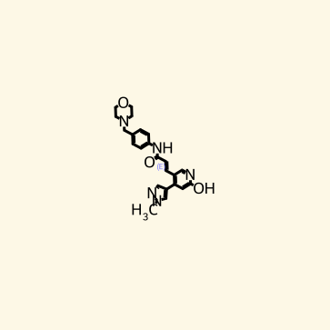 Cn1cc(-c2cc(O)ncc2/C=C/C(=O)Nc2ccc(CN3CCOCC3)cc2)cn1